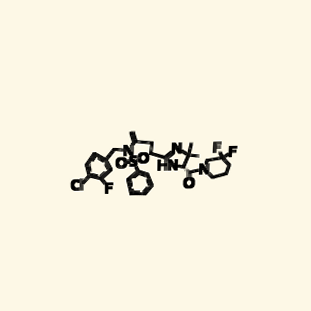 C=C(CCC1=NC(C)(C)[C@H](C(=O)N2CCCC(F)(F)C2)N1)N(Cc1ccc(Cl)c(F)c1)S(=O)(=O)c1ccccc1